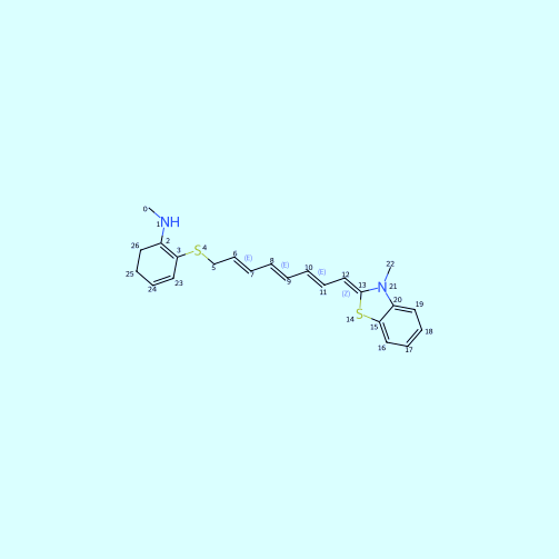 CNC1=C(SC/C=C/C=C/C=C/C=C2\Sc3ccccc3N2C)C=CCC1